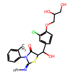 CCCN=C1SC(C(O)c2ccc(OCC(O)CO)c(Cl)c2)C(=O)N1c1ccccc1C